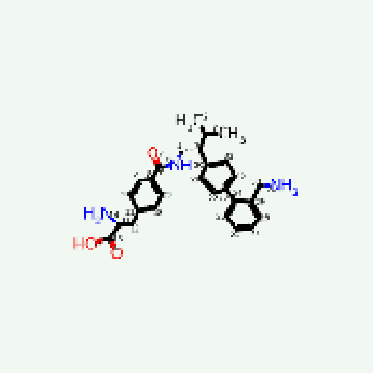 CC(C)[C@@H](CNC(=O)c1ccc(C[C@H](N)C(=O)O)cc1)c1ccc(-c2ccccc2CN)cc1